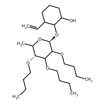 C=CC1CCCC(O)C1O[C@@H]1OC(C)[C@@H](OCCCC)C(OCCCC)C1OCCCC